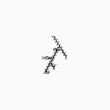 CCCCCCCCC(CCCCCCCC)COC(=O)CCCCCN(CCO)CCN(CC=C(C)C)CCCCCC(C)=O